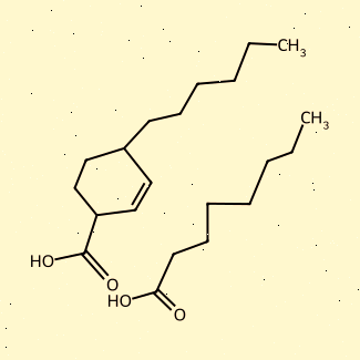 CCCCCCC1C=CC(C(=O)O)CC1.CCCCCCCC(=O)O